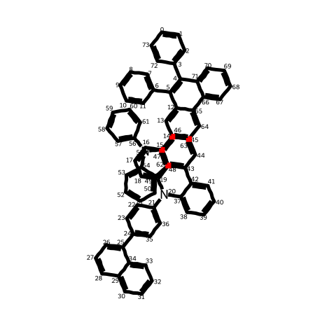 c1ccc(-c2c(-c3ccccc3)c3cc(-c4cccc(N(c5ccc(-c6cccc7ccccc67)cc5)c5ccccc5-c5cccc6c5c5ccccc5n6-c5ccccc5)c4)ccc3c3ccccc23)cc1